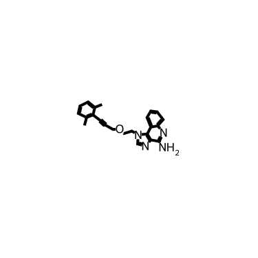 Cc1cccc(C)c1C#CCOCCn1cnc2c(N)nc3ccccc3c21